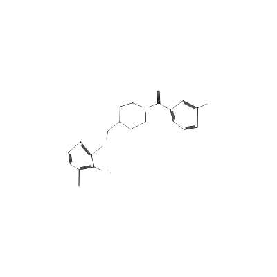 N#Cc1c(F)cccc1OCC1CCN(C(=O)c2cccc(I)c2)CC1